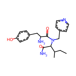 CCC(C)C(C(N)=O)N(Cc1ccncc1)C(=O)C(N)Cc1ccc(O)cc1